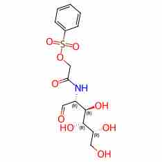 O=C[C@H](NC(=O)COS(=O)(=O)c1ccccc1)[C@@H](O)[C@@H](O)[C@H](O)CO